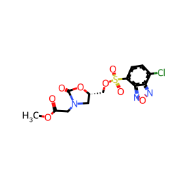 COC(=O)CN1C[C@@H](COS(=O)(=O)c2ccc(Cl)c3nonc23)OC1=O